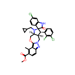 COC(=O)c1ccc2nn3c(c2c1C)OC[C@H]1[C@@H](C3)[C@H](c2cccc(Cl)c2F)[C@]2(C(=O)Nc3cc(Cl)ccc32)N1CC1CC1